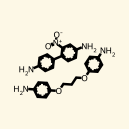 Nc1ccc(-c2ccc(N)cc2[N+](=O)[O-])cc1.Nc1ccc(OCCCOc2ccc(N)cc2)cc1